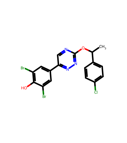 CC(Oc1ncc(-c2cc(Br)c(O)c(Br)c2)nn1)c1ccc(Cl)cc1